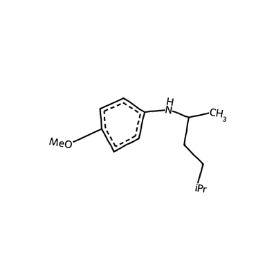 COc1ccc(NC(C)CCC(C)C)cc1